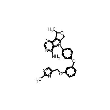 Cc1nc(COc2cccc(Oc3ccc(-n4c5c(c6ncnc(N)c64)C(C)OC5)cc3)c2)cs1